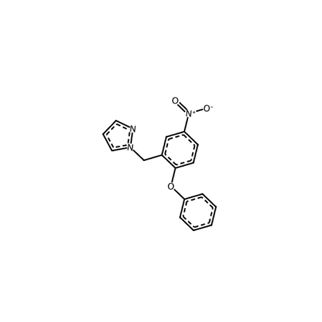 O=[N+]([O-])c1ccc(Oc2ccccc2)c(Cn2cccn2)c1